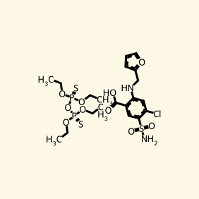 CCOP(=S)(OCC)OP(=S)(OCC)OCC.NS(=O)(=O)c1cc(C(=O)O)c(NCc2ccco2)cc1Cl